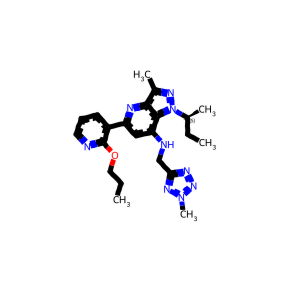 CCCOc1ncccc1-c1cc(NCc2nnn(C)n2)c2c(n1)c(C)nn2[C@@H](C)CC